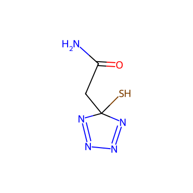 NC(=O)CC1(S)N=NN=N1